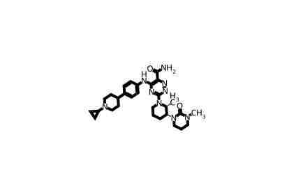 C[C@@H]1[C@H](N2CCCN(C)C2=O)CCCN1c1nnc(C(N)=O)c(Nc2ccc(C3CCN(C4CC4)CC3)cc2)n1